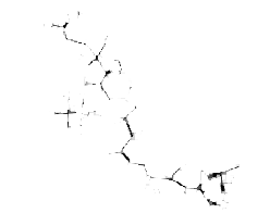 C/C(=C/C[C@H](O)/C(C)=C/c1csc(C)n1)CCC[C@H](C)[C@H](O[Si](C)(C)C(C)(C)C)[C@@H](C)C(=O)C(C)(C)CCC(=O)O